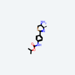 CC(C)OC(=O)Nc1ccc(C2=N[C@H](C)C(N)CS2)cc1